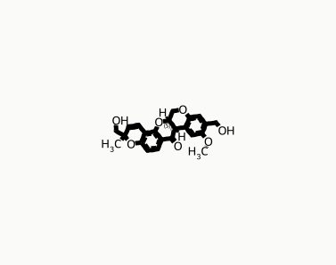 COc1cc2c(cc1CO)OC[C@H]1Oc3c(ccc4c3C=CC(C)(CO)O4)C(=O)[C@@H]21